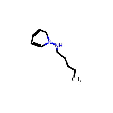 CCCCCNN1C=CC=CC1